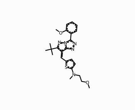 COCCN(C)c1ccc(/C=c2/c(C(C)(C)C)nn3c(-c4ccccc4OC)nnc23)s1